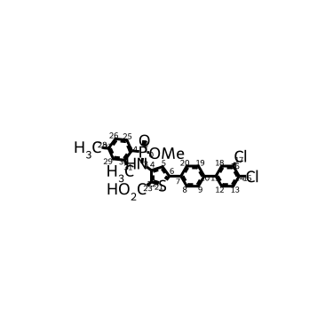 COP(=O)(Nc1cc(-c2ccc(-c3ccc(Cl)c(Cl)c3)cc2)sc1C(=O)O)c1ccc(C)cc1C